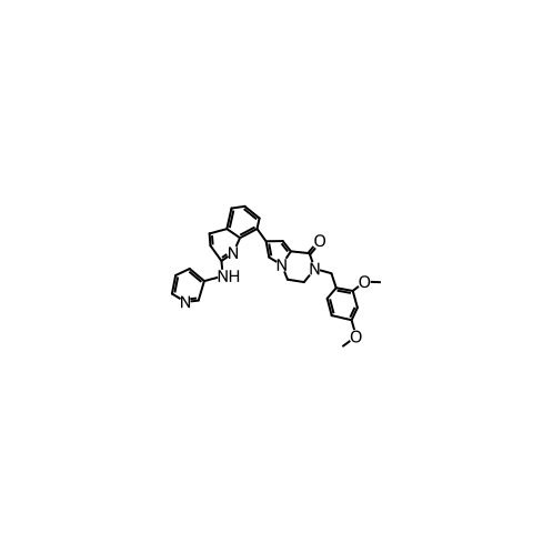 COc1ccc(CN2CCn3cc(-c4cccc5ccc(Nc6cccnc6)nc45)cc3C2=O)c(OC)c1